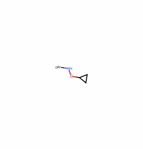 CCCNOC1CC1